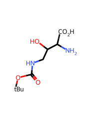 CC(C)(C)OC(=O)NCC(O)C(N)C(=O)O